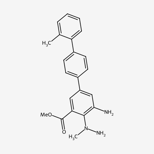 COC(=O)c1cc(-c2ccc(-c3ccccc3C)cc2)cc(N)c1N(C)N